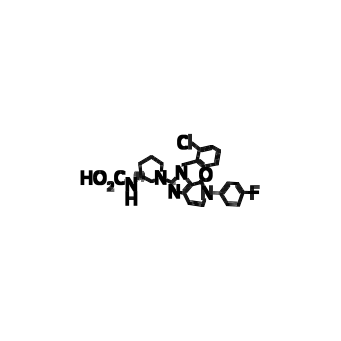 O=C(O)N[C@@H]1CCCN(c2nc3ccn(-c4ccc(F)cc4)c(=O)c3n2Cc2ccccc2Cl)C1